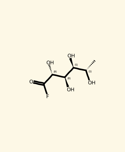 C[C@H](O)[C@H](O)[C@@H](O)[C@@H](O)C(=O)F